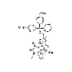 COc1ccc(C(OC[C@H]2[CH][C@@H](O[Si](C)(C)C(C)(C)C)[C@H](n3cc(C)c(=O)[nH]c3=O)O2)(c2ccccc2)c2ccc(OC)cc2)cc1